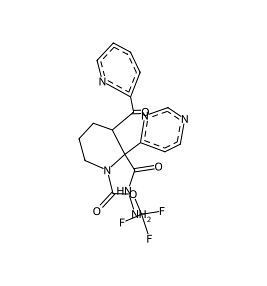 NNC(=O)C1(c2ccncn2)C(C(=O)c2ccccn2)CCCN1C(=O)OC(F)(F)F